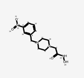 O=C(CN1CCN(Cc2cccc([N+](=O)[O-])c2)CC1)NO